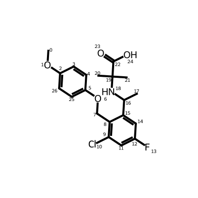 COc1ccc(OCc2c(Cl)cc(F)cc2C(C)NC(C)(C)C(=O)O)cc1